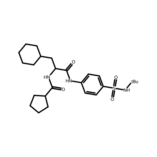 CC(C)(C)NS(=O)(=O)c1ccc(NC(=O)C(CC2CCCCC2)NC(=O)C2CCCC2)cc1